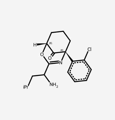 CC(C)CC(N)C1=N[C@@]2(c3ccccc3Cl)CCC[C@@H](O1)C2=O